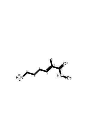 CCNC(=O)C(C)=CCCCN